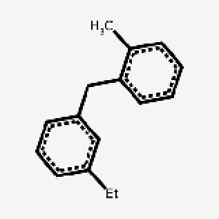 CCc1[c]ccc(Cc2ccccc2C)c1